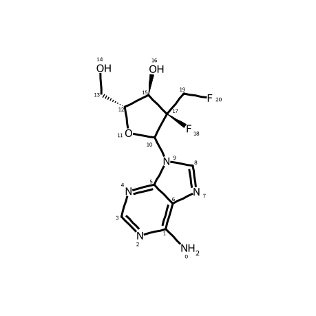 Nc1ncnc2c1ncn2C1O[C@H](CO)[C@@H](O)[C@]1(F)CF